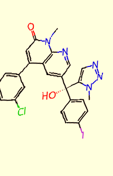 Cn1nncc1[C@@](O)(c1ccc(I)cc1)c1cnc2c(c1)c(-c1cccc(Cl)c1)cc(=O)n2C